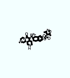 CCCN(C1CCc2ccc(OS(=O)(=O)c3c(C)noc3C)cc2C1)C(C(=O)N1CCN(C)CC1)C1CCNCC1